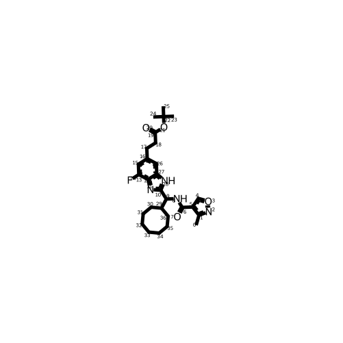 Cc1nocc1C(=O)NC(c1nc2c(F)cc(CCC(=O)OC(C)(C)C)cc2[nH]1)C1CCCCCCC1